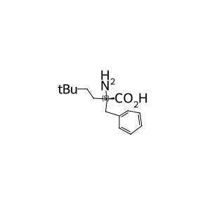 CC(C)(C)CC[C@](N)(Cc1ccccc1)C(=O)O